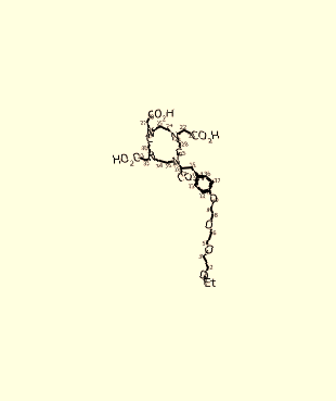 CCOCCOCCOCCOc1ccc(CC(C(=O)O)N2CCN(CC(=O)O)CCN(CC(=O)O)CCN(CC(=O)O)CC2)cc1